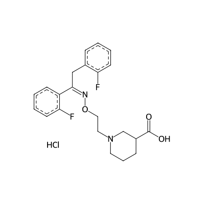 Cl.O=C(O)C1CCCN(CCON=C(Cc2ccccc2F)c2ccccc2F)C1